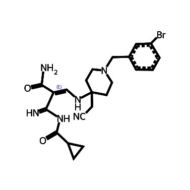 N#CCC1(N/C=C(\C(=N)NC(=O)C2CC2)C(N)=O)CCN(Cc2cccc(Br)c2)CC1